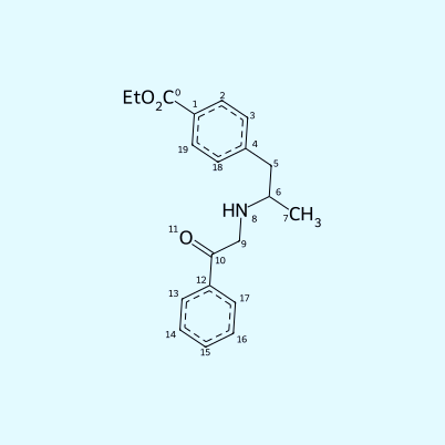 CCOC(=O)c1ccc(CC(C)NCC(=O)c2ccccc2)cc1